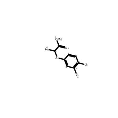 COC(=O)C(Oc1ccc(Cl)c(Cl)c1)C(C)=O